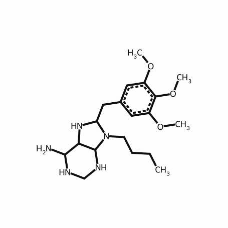 CCCCN1C(Cc2cc(OC)c(OC)c(OC)c2)NC2C(N)NCNC21